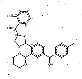 Cc1ccc(C(O)c2ccc(C3CCN(C(=O)c4ncccc4Cl)C3)c(C3OCCCO3)c2)cc1